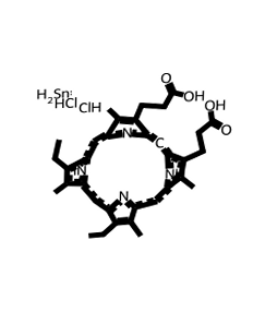 CCC1=C(C)c2cc3[nH]c(cc4nc(cc5[nH]c(cc1n2)c(C)c5CC)C(C)=C4CCC(=O)O)c(CCC(=O)O)c3C.Cl.Cl.[SnH2]